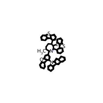 CCC1/C(c2cccc3sc4ccccc4c23)=N\C(c2cc(-n3c4ccccc4c4cc5ccccc5cc43)c3c(c2)oc2ccccc23)C(C)CCC1c1cccc2sc3ccccc3c12